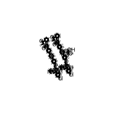 CC(C(=O)c1ccccc1)n1ncn(-c2ccc(N3CCN(c4ccc(OCC5COC(Cn6cncn6)(c6ccc(Cl)cc6Cl)O5)cc4)CC3)cc2)c1=O.CC(C(=O)c1ccccc1)n1ncn(-c2ccc(N3CCN(c4ccc(OCC5COC(Cn6cncn6)(c6ccc(Cl)cc6Cl)O5)cc4)CC3)cc2)c1=O.O=C(O)C(=O)O